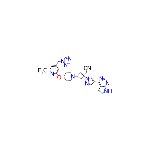 N#CCC1(n2cc(-c3ncnc4[nH]ccc34)cn2)CC(N2CCC(Oc3cc(Cn4cncn4)cc(C(F)(F)F)n3)CC2)C1